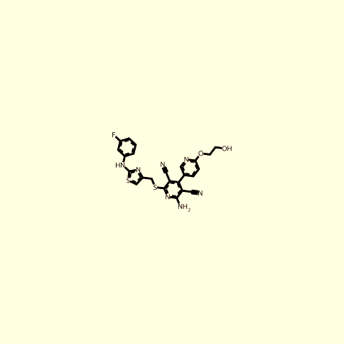 N#Cc1c(N)nc(SCc2csc(Nc3cccc(F)c3)n2)c(C#N)c1-c1ccc(OCCO)nc1